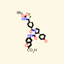 CC(C)(C)OC(=O)N[C@H](CF)[C@H]1CC[C@H](C(=O)N2CC[C@H](C3CCC(=O)CC3)[C@@H]2C(=O)Nc2ccc3oc(C(=O)O)cc3c2)CC1